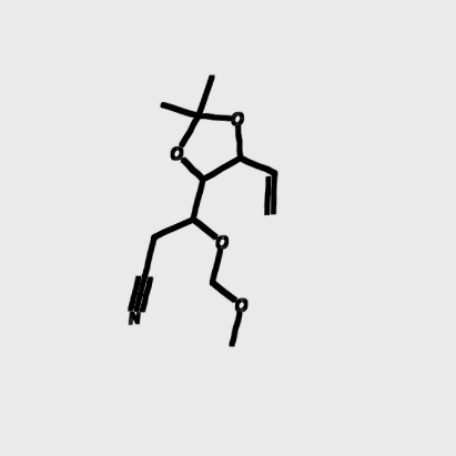 C=CC1OC(C)(C)OC1C(CC#N)OCOC